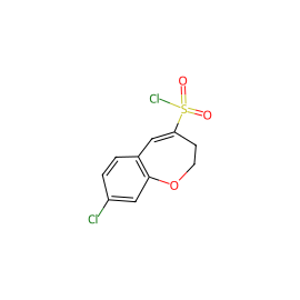 O=S(=O)(Cl)C1=Cc2ccc(Cl)cc2OCC1